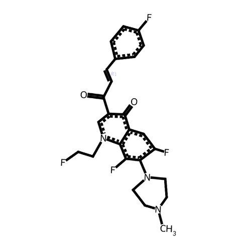 CN1CCN(c2c(F)cc3c(=O)c(C(=O)/C=C/c4ccc(F)cc4)cn(CCF)c3c2F)CC1